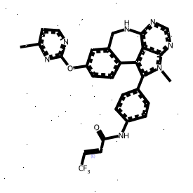 Cc1ccnc(Oc2ccc3c(c2)CNc2ncnc4c2c-3c(-c2ccc(NC(=O)/C=C/C(F)(F)F)cc2)n4C)n1